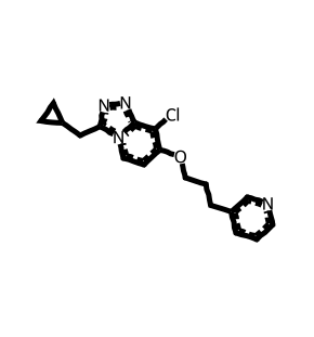 Clc1c(OCCCc2cccnc2)ccn2c(CC3CC3)nnc12